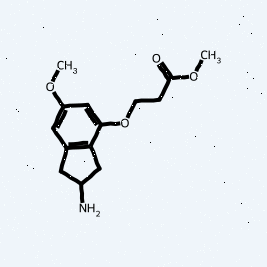 COC(=O)CCOc1cc(OC)cc2c1CC(N)C2